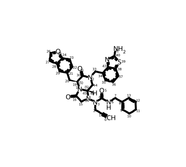 C#CCN(C(=O)NCC1=CCCC=C1)N1CC(=O)N2[C@@H](Cc3ccc4occc4c3)C(=O)N(Cc3cccc4sc(N)nc34)C[C@@H]21